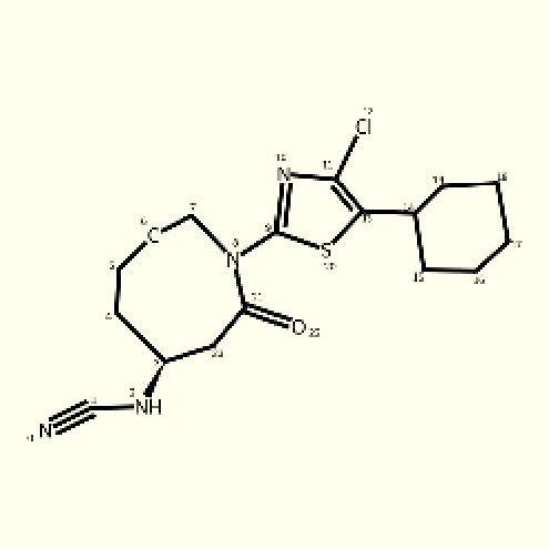 N#CN[C@H]1CCCCN(c2nc(Cl)c(C3CCCCC3)s2)C(=O)C1